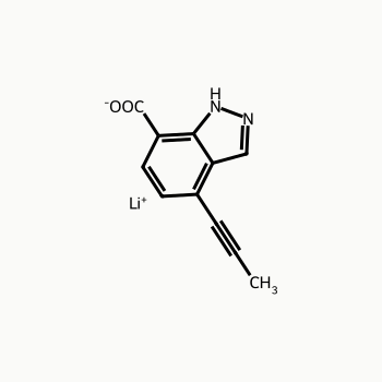 CC#Cc1ccc(C(=O)[O-])c2[nH]ncc12.[Li+]